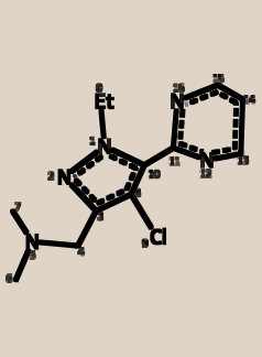 CCn1nc(CN(C)C)c(Cl)c1-c1ncccn1